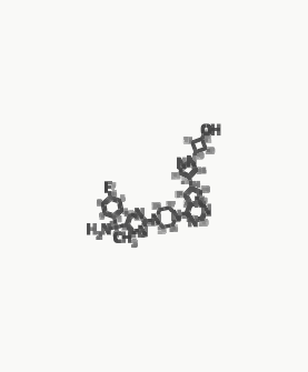 CC(N)(c1ccc(F)cc1)c1cnc(N2CCN(c3ncnn4cc(-c5cnn(C6CC(O)C6)c5)cc34)CC2)nc1